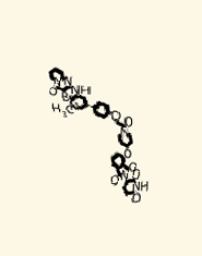 CN1C[C@H](Nc2nc3ccccn3c(=O)c2Br)C[C@H](c2ccc(OCC(=O)N3CCC(Oc4cccc5c4C(=O)N(C4CCC(=O)NC4=O)C5=O)CC3)cc2)C1